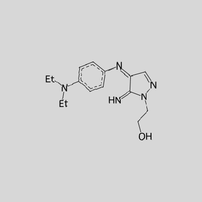 CCN(CC)c1ccc(N=C2C=NN(CCO)C2=N)cc1